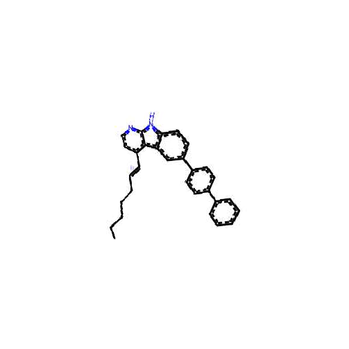 CCCCC/C=C/c1ccnc2[nH]c3ccc(-c4ccc(-c5ccccc5)cc4)cc3c12